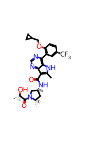 Cc1[nH]c2c(-c3cc(C(F)(F)F)ccc3OCC3CC3)ncnc2c1C(=O)N[C@@H]1C[C@H](C)N(C(=O)[C@H](C)O)C1